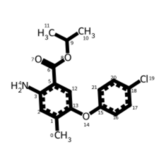 Cc1cc(N)c(C(=O)OC(C)C)cc1Oc1ccc(Cl)cc1